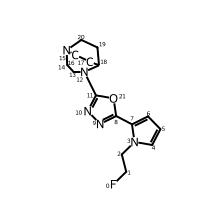 FCCn1cccc1-c1nnc(N2CCN3CCC2CC3)o1